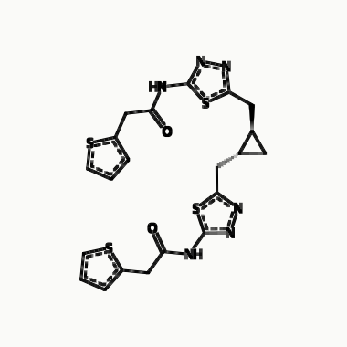 O=C(Cc1cccs1)Nc1nnc(C[C@H]2C[C@@H]2Cc2nnc(NC(=O)Cc3cccs3)s2)s1